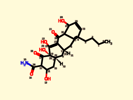 CCCCC1=C2C[C@H]3C[C@H]4CC(O)C(C(N)=O)C(=O)[C@@]4(O)C(O)=C3C(=O)C2C(O)C=C1